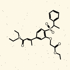 CCOC(=O)COc1cc(/C(C)=C/C(=O)N(CC)CC)ccc1S(=O)(=O)C(C)c1ccccc1